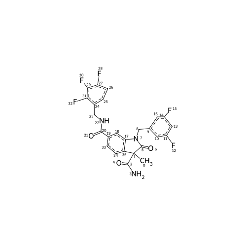 CC1(C(N)=O)C(=O)N(Cc2cc(F)cc(F)c2)c2cc(C(=O)NCc3ccc(F)c(F)c3F)ccc21